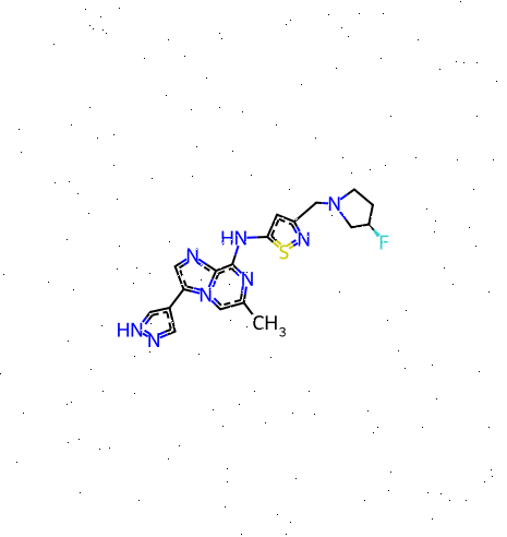 Cc1cn2c(-c3cn[nH]c3)cnc2c(Nc2cc(CN3CC[C@@H](F)C3)ns2)n1